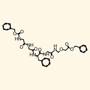 O=C(CNC(=O)OCc1ccccc1)NCC(=O)N[C@H](Cc1ccccc1)C(=O)NCC(=O)NCOCC(=O)OCc1ccccc1